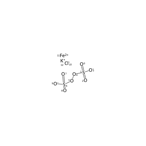 O=S(=O)([O-])OOS(=O)(=O)[O-].[Cl-].[Fe+2].[K+]